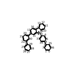 c1ccc(-c2ccc(-n3c4ccccc4c4ccc(-c5cccc(-c6ccccc6)c5)cc43)cc2)cc1